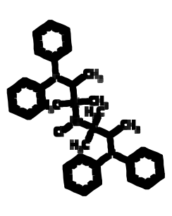 CC(P(c1ccccc1)c1ccccc1)[Si](C)(C)[Rh]([Cl])[Si](C)(C)C(C)P(c1ccccc1)c1ccccc1